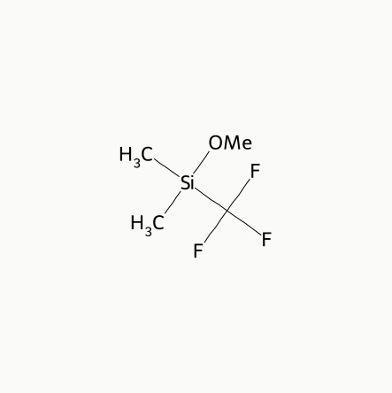 CO[Si](C)(C)C(F)(F)F